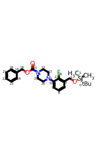 CC(C)(C)[Si](C)(C)OCc1cccc(N2CCN(C(=O)OCc3ccccc3)CC2)c1F